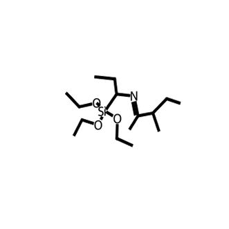 CCO[Si](OCC)(OCC)C(CC)/N=C(\C)C(C)CC